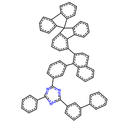 c1ccc(-c2cccc(-c3nc(-c4ccccc4)nc(-c4cccc(-c5c(-c6cccc7c6-c6ccccc6C76c7ccccc7-c7ccccc76)ccc6ccccc56)c4)n3)c2)cc1